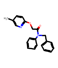 Cc1ccc(OCC(=O)N(Cc2ccccc2)c2ccccc2)nc1